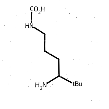 CC(C)(C)C(N)CCCNC(=O)O